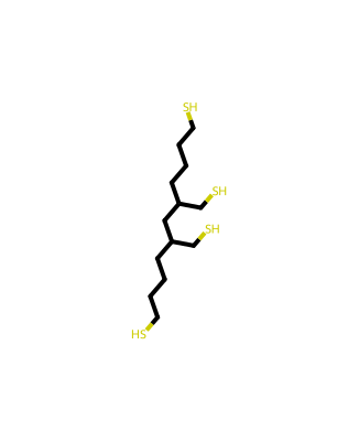 SCCCCC(CS)CC(CS)CCCCS